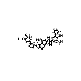 Cc1ccc(-c2cccc(-c3nc4c(ccc5cc(C(=O)N[C@@H](Cc6c[nH]c7ccccc67)C(=O)O)cc(O)c54)[nH]3)c2)cc1C